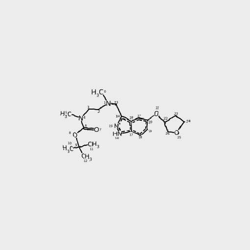 CN(CCN(C)C(=O)OC(C)(C)C)Cc1n[nH]c2ccc(OC3CCOC3)cc12